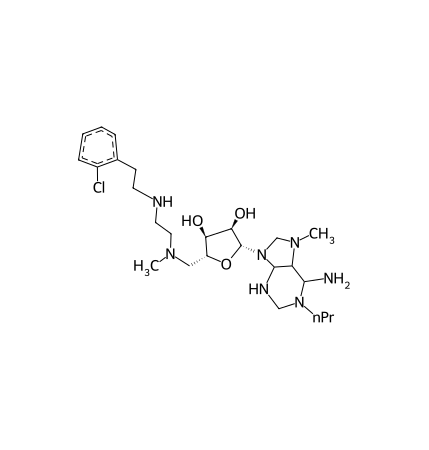 CCCN1CNC2C(C1N)N(C)CN2[C@@H]1O[C@H](CN(C)CCNCCc2ccccc2Cl)[C@@H](O)[C@H]1O